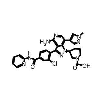 Cn1cc(-c2cnc(N)c3c(-c4ccc(C(=O)Nc5ccccn5)cc4Cl)nn(C4CCCN(C(=O)O)C4)c23)cn1